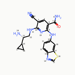 N#Cc1cc(C(N)=O)c(Nc2ccc3ncsc3c2)nc1NC[C@@H](N)C1CC1